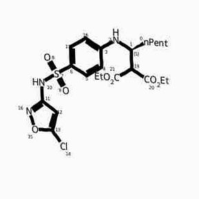 CCCCC[C@H](Nc1ccc(S(=O)(=O)Nc2cc(Cl)on2)cc1)C(C(=O)OCC)C(=O)OCC